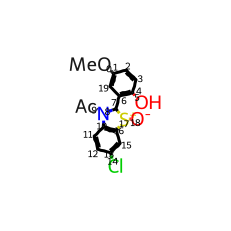 COc1ccc(O)c(C2N(C(C)=O)c3ccc(Cl)cc3[S+]2[O-])c1